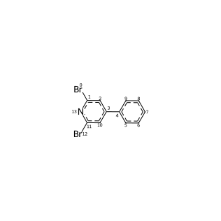 Brc1cc(-c2ccccc2)cc(Br)n1